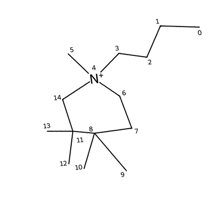 CCCC[N+]1(C)CCC(C)(C)C(C)(C)C1